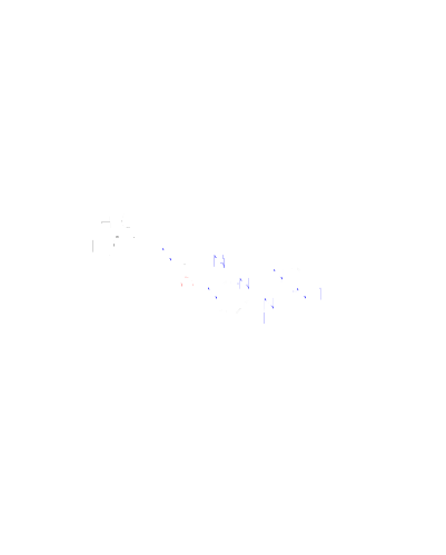 CC1(C)CCN(C(=O)C2CCCN2c2nc3c(c(Nc4ncc(C5CCCC5)[nH]4)n2)CCC3)CC1